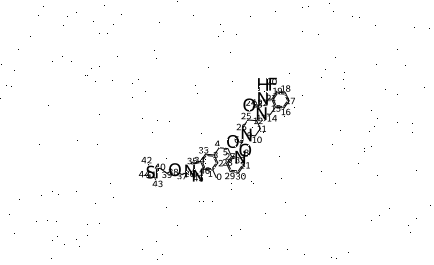 Cc1cc(CC(OC(=O)N2CCC(N3Cc4cccc(F)c4NC3=O)CC2)c2ccccn2)cc2cn(COCC[Si](C)(C)C)nc12